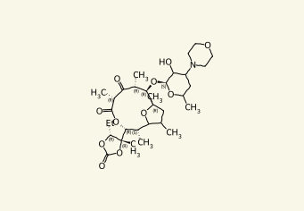 CC[C@H]1OC(=O)O[C@@]1(C)[C@@H]1OC(=O)[C@H](C)C(=O)[C@H](C)[C@@H](O[C@@H]2OC(C)CC(N3CCOCC3)C2O)[C@@]2(C)CC(C)C(O2)[C@@H]1C